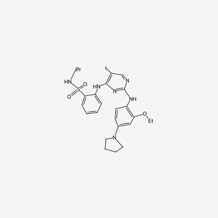 CCOc1cc(N2CCCC2)ccc1Nc1ncc(I)c(Nc2ccccc2S(=O)(=O)NC(C)C)n1